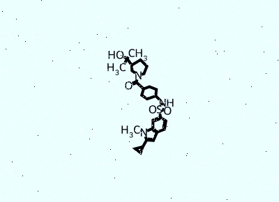 Cn1c(C2CC2)cc2ccc(S(=O)(=O)NC3CCC(C(=O)N4CCCC(C(C)(C)O)C4)CC3)cc21